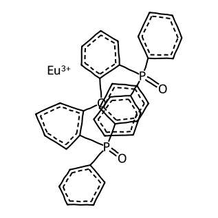 O=P(c1ccccc1)(c1ccccc1)c1ccccc1Oc1ccccc1P(=O)(c1ccccc1)c1ccccc1.[Eu+3]